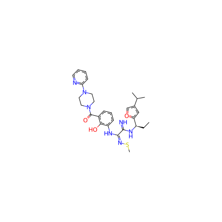 CC[C@@H](NC(=N)/C(=N\SC)Nc1cccc(C(=O)N2CCN(c3ccccn3)CC2)c1O)c1cc(C(C)C)co1